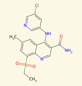 CCS(=O)(=O)c1cc(C)cc2c(Nc3cncc(Cl)c3)c(C(N)=O)cnc12